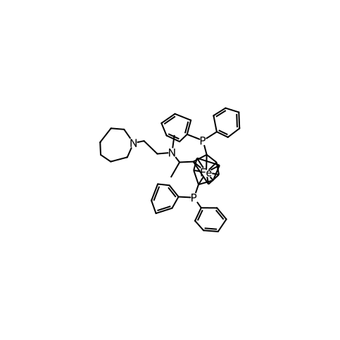 CC(N(C)CCN1CCCCCC1)[C]12[CH]3[CH]4[CH]5[C]1(P(c1ccccc1)c1ccccc1)[Fe]43521678[CH]2[CH]1[CH]6[C]7(P(c1ccccc1)c1ccccc1)[CH]28